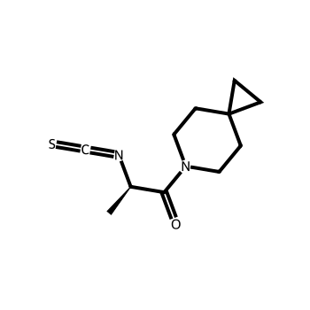 C[C@@H](N=C=S)C(=O)N1CCC2(CC1)CC2